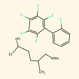 CCCC(CC)CCC(C)CNC.Fc1ccccc1-c1c(F)c(F)c(F)c(F)c1F